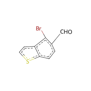 O=Cc1ccc2sccc2c1Br